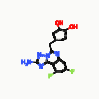 Nc1nc2c3c(F)cc(F)cc3nc(Cc3ccc(O)c(O)c3)n2n1